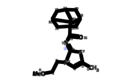 COCCn1cc(C)s/c1=N\C(=O)C12CC3CC(CC(C3)C1)C2